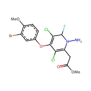 COC(=O)CC1=C(Cl)C(Oc2ccc(OC)c(Br)c2)=C(Cl)C(F)N1N